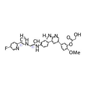 COc1ccc(-c2cnc(N)c(-c3ccc(N/C(C)=C/N/C=C(\C)c4ccc(F)cn4)cc3)c2)cc1OC(=O)CO